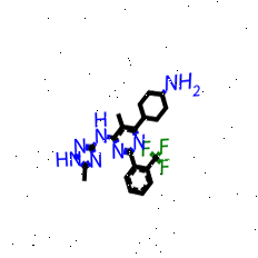 Cc1nc(Nc2nc(-c3ccccc3C(F)(F)F)nc(C3CCC(N)CC3)c2C)n[nH]1